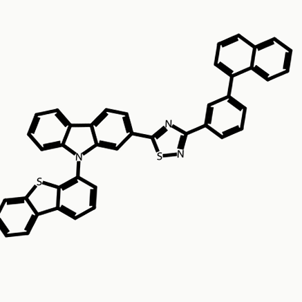 c1cc(-c2nsc(-c3ccc4c5ccccc5n(-c5cccc6c5sc5ccccc56)c4c3)n2)cc(-c2cccc3ccccc23)c1